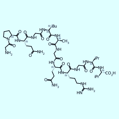 CC[C@H](C)[C@H](NC(=O)CNC(=O)[C@H](CCC(N)=O)NC(=O)[C@@H]1CCCN1C(=O)CN)C(=O)N[C@@H](C)C(=O)NCC(=O)N[C@@H](CCC(N)=O)C(=O)N[C@@H](CCCNC(=N)N)C(=O)NCC(=O)N[C@H](C(=O)N[C@H](C(=O)O)C(C)C)C(C)C